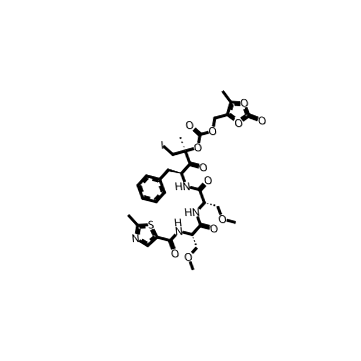 COC[C@H](NC(=O)c1cnc(C)s1)C(=O)N[C@@H](COC)C(=O)N[C@@H](Cc1ccccc1)C(=O)[C@@](C)(CI)OC(=O)OCc1oc(=O)oc1C